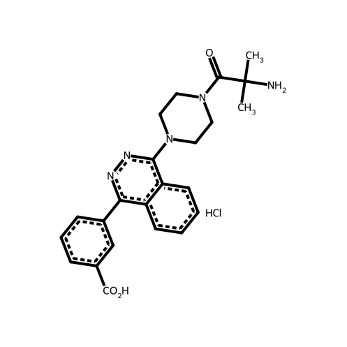 CC(C)(N)C(=O)N1CCN(c2nnc(-c3cccc(C(=O)O)c3)c3ccccc23)CC1.Cl